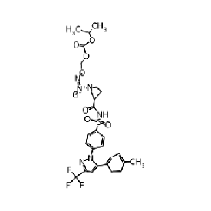 Cc1ccc(-c2cc(C(F)(F)F)nn2-c2ccc(S(=O)(=O)NC(=O)[C@@H]3CCN3/[N+]([O-])=N\OCOC(=O)OC(C)C)cc2)cc1